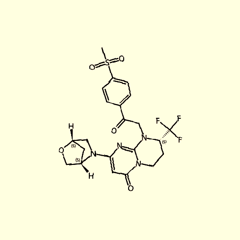 CS(=O)(=O)c1ccc(C(=O)CN2c3nc(N4C[C@@H]5C[C@H]4CO5)cc(=O)n3CC[C@H]2C(F)(F)F)cc1